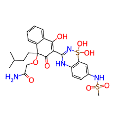 CC(C)CCC1(OCC(N)=O)C(=O)C(C2=NS(O)(O)c3cc(NS(C)(=O)=O)ccc3N2)=C(O)c2ccccc21